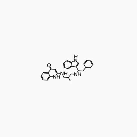 CC(CNc1cc(=O)c2ccccc2[nH]1)CNC(Cc1ccccc1)c1c[nH]c2ccccc12